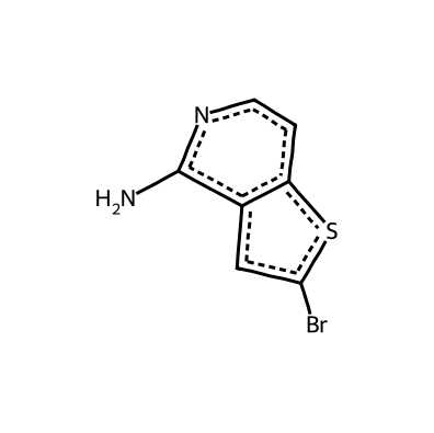 Nc1nccc2sc(Br)cc12